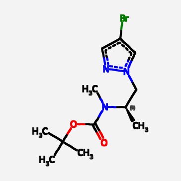 C[C@H](Cn1cc(Br)cn1)N(C)C(=O)OC(C)(C)C